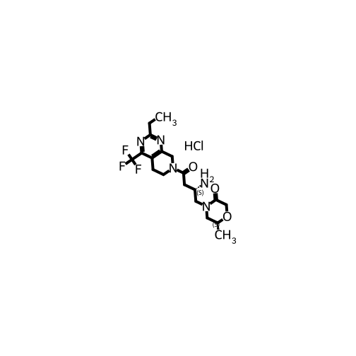 CCc1nc2c(c(C(F)(F)F)n1)CCN(C(=O)C[C@H](N)CN1C[C@H](C)OCC1=O)C2.Cl